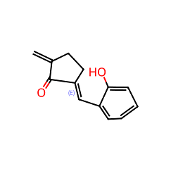 C=C1CC/C(=C\c2ccccc2O)C1=O